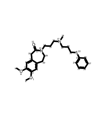 COc1cc2c(cc1OC)CC(=O)N(CCCN(C)CCCSc1ccccc1)CC2